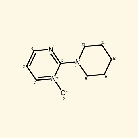 [O-][n+]1cccnc1N1CCCCC1